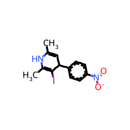 CC1=CC(c2ccc([N+](=O)[O-])cc2)C(I)=C(C)N1